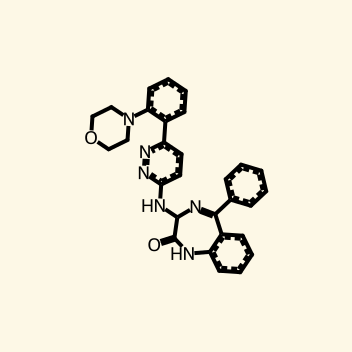 O=C1Nc2ccccc2C(c2ccccc2)=NC1Nc1ccc(-c2ccccc2N2CCOCC2)nn1